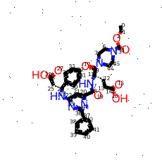 CCOC(=O)N1CCN(C(=O)[C@H](CCC(=O)O)NC(=O)c2cc(N[C@H](CC(=O)O)c3ccccc3)nc(-c3ccccc3)n2)CC1